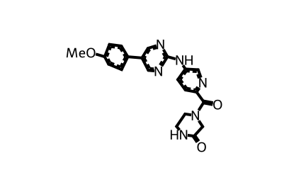 COc1ccc(-c2cnc(Nc3ccc(C(=O)N4CCNC(=O)C4)nc3)nc2)cc1